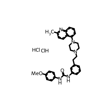 COc1ccc(NC(=O)Nc2cccc(CCN3CCN(c4cccc5nc(C)ccc45)CC3)c2)cc1.Cl.Cl